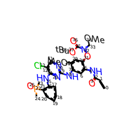 C=CC(=O)Nc1cc(Nc2ncc(Cl)c(Nc3ccccc3P(C)(C)=O)n2)c(OC)cc1ON(COC)C(=O)OC(C)(C)C